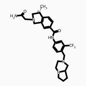 C[C@H]1CN(CC(N)=O)Cc2cc(C(=O)Nc3ccc(CN4CCN5CCCC5C4)c(C(F)(F)F)c3)ccc21